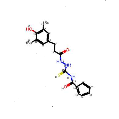 CC(C)(C)c1cc(CCC(=O)NNC(=S)NC(=O)c2ccccc2)cc(C(C)(C)C)c1O